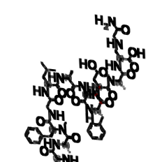 CC(C)C[C@H](NC(=O)CNC(=O)[C@H](Cc1ccccc1)N(C)C(=O)[C@H](C)NC(=O)[C@H](C)N)C(=O)N[C@@H](C)C(=O)N[C@H](C(=O)N[C@@H](Cc1ccccc1)C(=O)N[C@@H](CC(=O)O)C(=O)N(C)[C@@H](C)C(=O)N[C@@H](CNCC(N)=O)C(=O)O)C(C)C